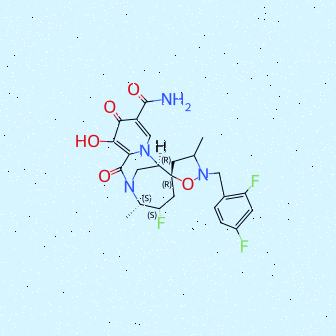 CC1C[C@]2(C[C@H](F)[C@H](C)N3C[C@H]2n2cc(C(N)=O)c(=O)c(O)c2C3=O)ON1Cc1ccc(F)cc1F